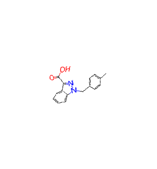 Cc1ccc(Cn2nc(C(=O)O)c3ccccc32)cc1